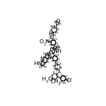 CC1(C)CCC(CN2CCN(c3ccc(C(=O)NS(=O)(=O)c4ccc(OCC5(F)CCN(C6COC6)CC5)c([N+](=O)[O-])c4)c(-n4ncc5nc6[nH]ccc6cc54)c3)CC2)=C(c2ccc(Cl)cc2)C1